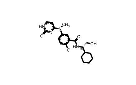 CN(c1ccc(Cl)c(C(=O)N[C@H](CO)C2CCCCC2)c1)c1cc[nH]c(=O)n1